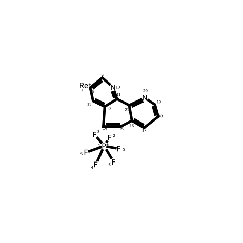 F[P-](F)(F)(F)(F)F.[Re+].c1cnc2c(c1)ccc1cccnc12